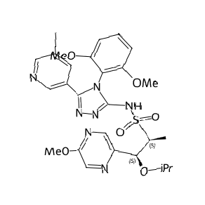 COc1cnc([C@H](OC(C)C)[C@H](C)S(=O)(=O)Nc2nnc(-c3cncc(C)c3)n2-c2c(OC)cccc2OC)cn1